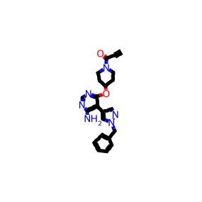 C#CC(=O)N1CCC(Oc2ncnc(N)c2-c2cnn(Cc3ccccc3)c2)CC1